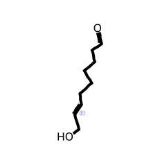 O=CCCCCC/C=C/CO